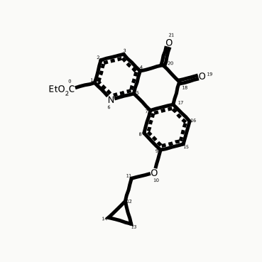 CCOC(=O)c1ccc2c(n1)-c1cc(OCC3CC3)ccc1C(=O)C2=O